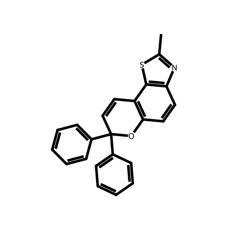 Cc1nc2ccc3c(c2s1)C=CC(c1ccccc1)(c1ccccc1)O3